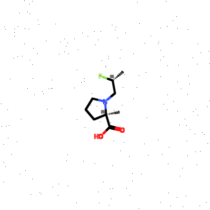 C[C@@H](F)CN1CCC[C@]1(C)C(=O)O